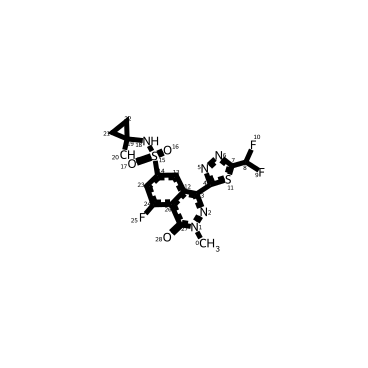 Cn1nc(-c2nnc(C(F)F)s2)c2cc(S(=O)(=O)NC3(C)CC3)cc(F)c2c1=O